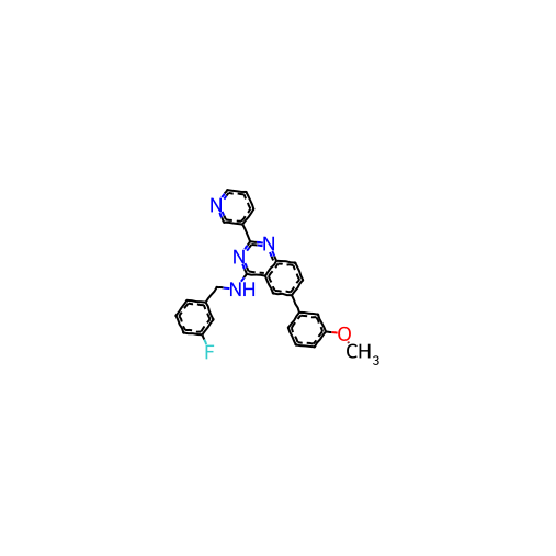 COc1cccc(-c2ccc3nc(-c4cccnc4)nc(NCc4cccc(F)c4)c3c2)c1